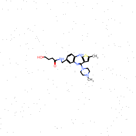 Cc1cc2c(s1)Nc1ccc(CNC(=O)CCCO)cc1N=C2N1CCN(C)CC1